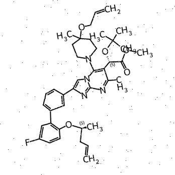 C=CCOC1(C)CCN(c2c([C@H](OC(C)(C)C)C(=O)OC)c(C)nc3nc(-c4cccc(-c5cc(F)ccc5O[C@@H](C)CC=C)c4)cn23)CC1